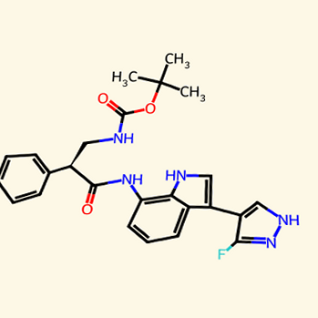 CC(C)(C)OC(=O)NC[C@@H](C(=O)Nc1cccc2c(-c3c[nH]nc3F)c[nH]c12)c1ccccc1